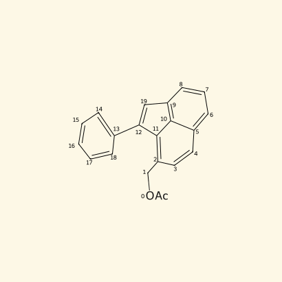 CC(=O)OCc1ccc2cccc3c2c1C(c1ccccc1)=C3